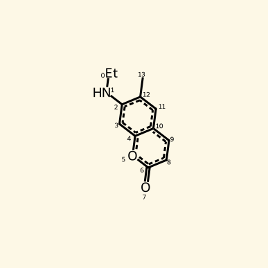 CCNc1cc2oc(=O)ccc2cc1C